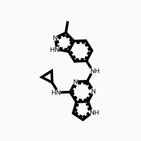 Cc1n[nH]c2cc(Nc3nc(NC4CC4)c4cc[nH]c4n3)ccc12